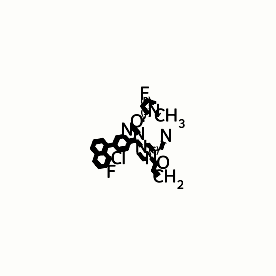 C=CC(=O)N1CCN(c2nc(OC[C@@H]3C[C@@H](F)CN3C)nc3cc(-c4cccc5ccc(F)c(Cl)c45)ccc23)C[C@@H]1CC#N